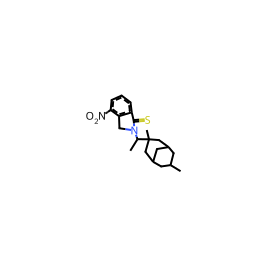 CC1CC2CC(C1)CC(C)(C(C)N1Cc3c(cccc3[N+](=O)[O-])C1=S)C2